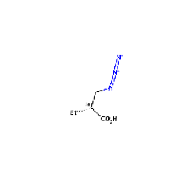 CC[C@H](CN=[N+]=[N-])C(=O)O